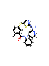 Cc1ccc(Sc2cnc(Nc3ccccn3)s2)cc1C(=O)Nc1ccccc1